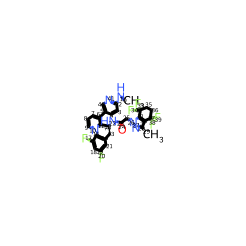 CNc1ccc(-c2cccnc2[C@H](Cc2cc(F)cc(F)c2)NC(=O)Cn2nc(C)c3c2C(F)(F)CCC3(F)F)cn1